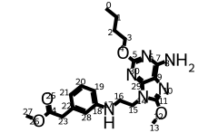 CCCCOc1nc(N)c2nc(OC)n(CCNc3cccc(CC(=O)OC)c3)c2n1